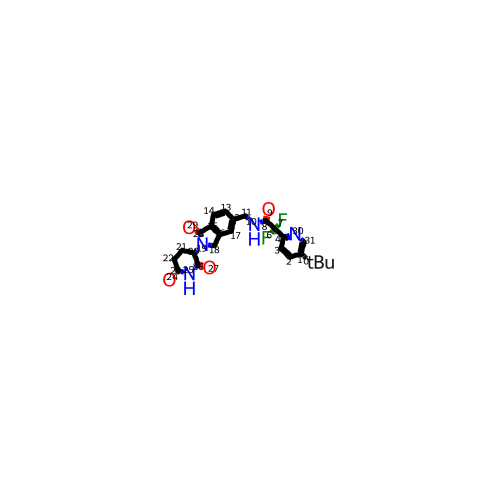 CC(C)(C)c1ccc(C(F)(F)C(=O)NCc2ccc3c(c2)CN(C2CCC(=O)NC2=O)C3=O)nc1